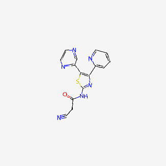 N#CCC(=O)Nc1nc(-c2ccccn2)c(-c2cnccn2)s1